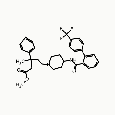 COC(=O)CC(C)(CCN1CCC(NC(=O)c2ccccc2-c2ccc(C(F)(F)F)cc2)CC1)c1ccccc1